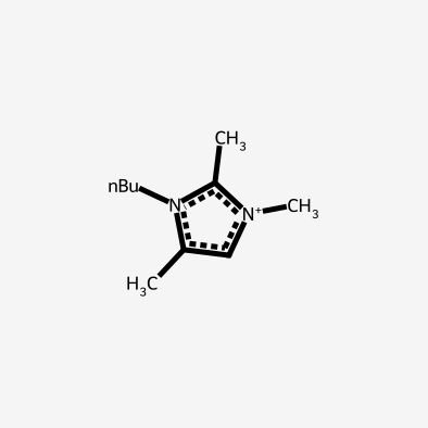 CCCCn1c(C)c[n+](C)c1C